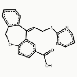 O=C(O)c1ccc2c(c1)C(=CCSc1ncccn1)c1ccccc1CO2